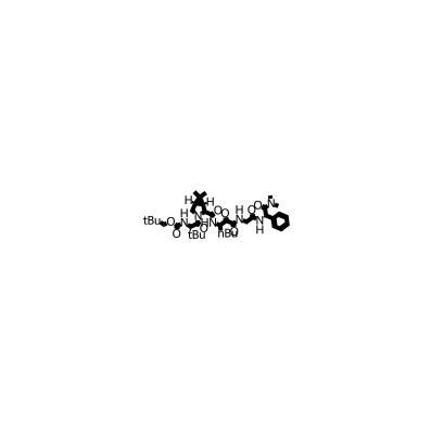 CCCCC(NC(=O)C1[C@@H]2[C@H](CN1C(=O)[C@@H](NC(=O)OCC(C)(C)C)C(C)(C)C)C2(C)C)C(=O)C(=O)NCC(=O)N[C@H](C(=O)N(C)C)c1ccccc1